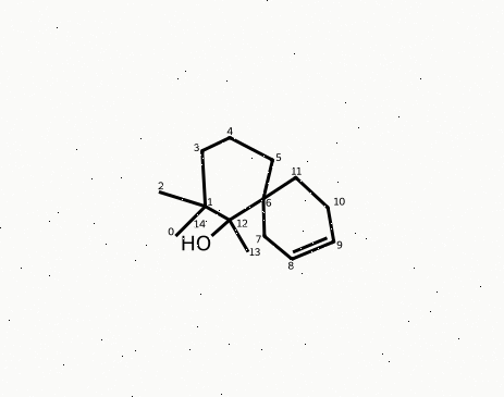 CC1(C)CCCC2(CC=CCC2)C1(C)O